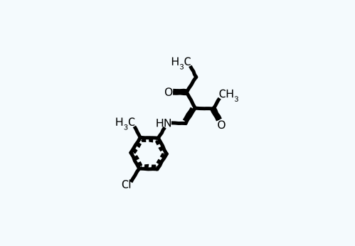 CCC(=O)/C(=C\Nc1ccc(Cl)cc1C)C(C)=O